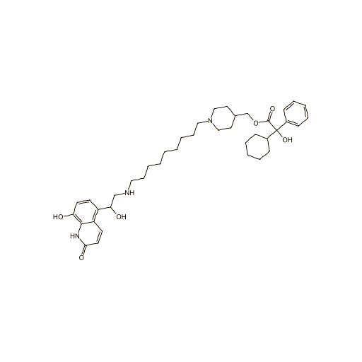 O=C(OCC1CCN(CCCCCCCCCNCC(O)c2ccc(O)c3[nH]c(=O)ccc23)CC1)C(O)(c1ccccc1)C1CCCCC1